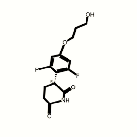 O=C1CC[C@H](c2c(F)cc(OCCCO)cc2F)C(=O)N1